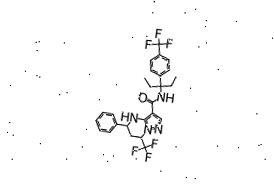 CCC(CC)(NC(=O)c1cnn2c1NC(c1ccccc1)CC2C(F)(F)F)c1ccc(C(F)(F)F)cc1